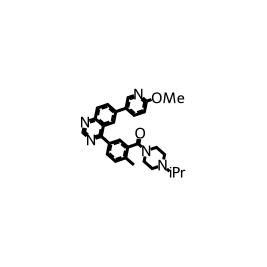 COc1ccc(-c2ccc3ncnc(-c4ccc(C)c(C(=O)N5CCN(C(C)C)CC5)c4)c3c2)cn1